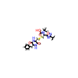 CC(C)c1noc([C@H](CSSC[C@@H]2NC(=O)[C@@H](Cc3ccccc3)NC2=O)N(C(=O)O)C(C)(C)C)n1